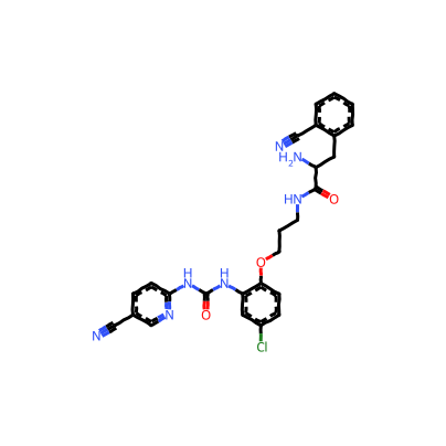 N#Cc1ccc(NC(=O)Nc2cc(Cl)ccc2OCCCNC(=O)C(N)Cc2ccccc2C#N)nc1